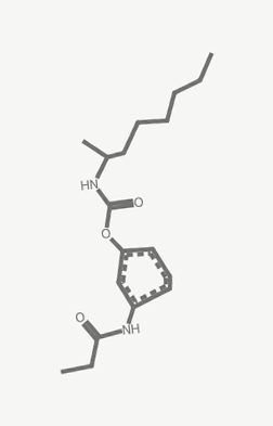 CCCCCCC(C)NC(=O)Oc1cccc(NC(=O)CC)c1